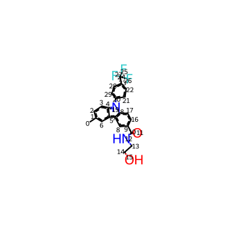 Cc1ccc2c(c1)c1cc(C(=O)NCCO)ccc1n2-c1ccc(C(F)(F)F)cc1